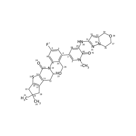 Cn1cc(-c2cc(F)cc(N3CCc4c(sc5c4CC(C)(C)C5)C3=O)c2CO)cc(Nc2cc3n(n2)CCOC3)c1=O